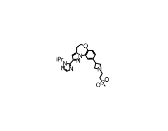 CC(C)n1ncnc1-c1cc2n(n1)-c1cc(C3CN(CCS(C)(=O)=O)C3)ccc1OCC2